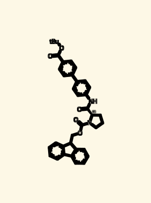 CC(C)(C)OC(=O)c1ccc(-c2ccc(NC(=O)[C@H]3CCCN3C(=O)OCC3c4ccccc4-c4ccccc43)cc2)cc1